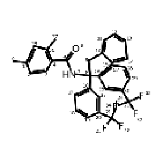 Cc1ccc(C(=O)NC(Cc2ccccc2)(c2cccc(C(F)(F)F)c2)c2cccc(C(F)(F)F)c2)c(C)c1